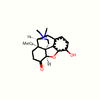 CO[C@@]12CCC(=O)[C@@H]3Oc4c(O)ccc5c4[C@@]31CC[N+](C)(C)[C@@H]2C5